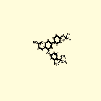 CC(C)(C)c1ccc(Oc2cc(-c3ccc(OC(F)(F)F)cc3)ccc2/C=C\C(=O)O)cc1